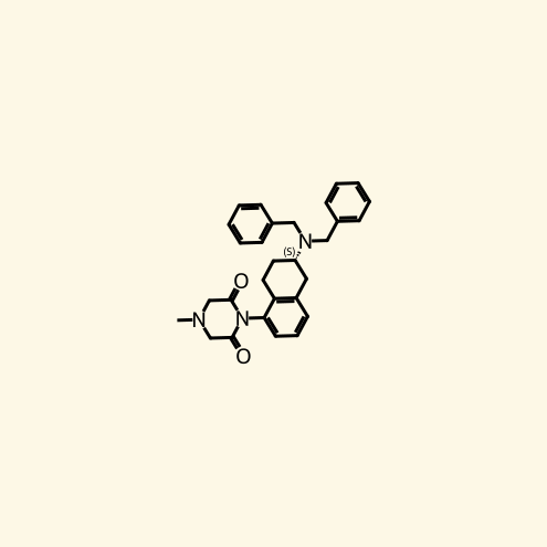 CN1CC(=O)N(c2cccc3c2CC[C@H](N(Cc2ccccc2)Cc2ccccc2)C3)C(=O)C1